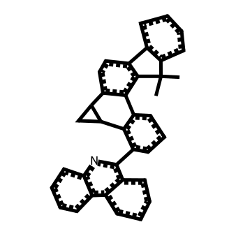 CC1(C)c2ccccc2-c2ccc3c(c21)-c1cccc(-c2nc4ccccc4c4ccccc24)c1C1CC31